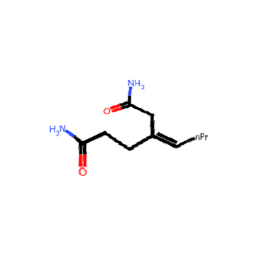 CCCC=C(CCC(N)=O)CC(N)=O